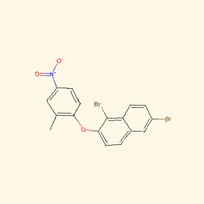 Cc1cc([N+](=O)[O-])ccc1Oc1ccc2cc(Br)ccc2c1Br